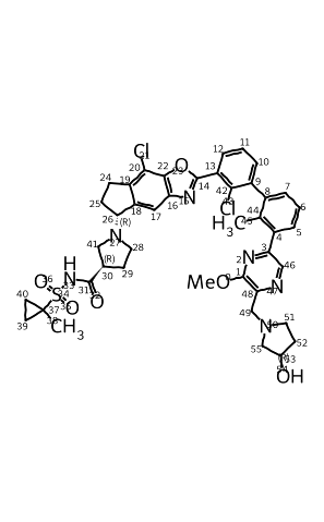 COc1nc(-c2cccc(-c3cccc(-c4nc5cc6c(c(Cl)c5o4)CC[C@H]6N4CC[C@@H](C(=O)NS(=O)(=O)C5(C)CC5)C4)c3Cl)c2C)cnc1CN1CC[C@@H](O)C1